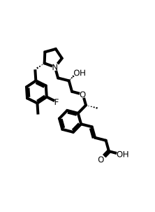 Cc1ccc(C[C@@H]2CCCN2C[C@H](O)CO[C@H](C)c2ccccc2/C=C/CC(=O)O)cc1F